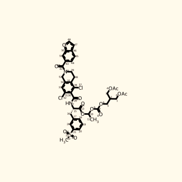 CC(=O)OCC(COC(C)=O)COC(=O)OC(C)OC(=O)[C@H](Cc1cccc(S(C)(=O)=O)c1)NC(=O)c1c(Cl)cc2c(c1Cl)CCN(C(=O)c1ccc3ccoc3c1)C2